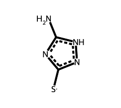 Nc1nc([S])n[nH]1